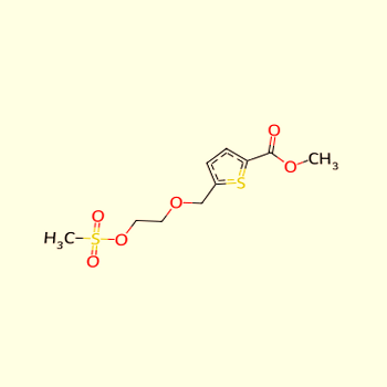 COC(=O)c1ccc(COCCOS(C)(=O)=O)s1